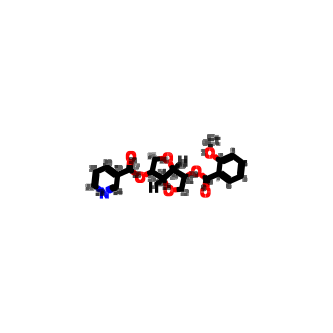 CCOc1ccccc1C(=O)O[C@H]1CO[C@@H]2C(OC(=O)c3cccnc3)CO[C@H]12